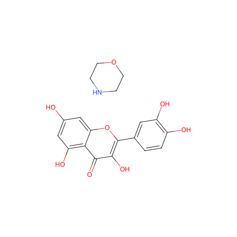 C1COCCN1.O=c1c(O)c(-c2ccc(O)c(O)c2)oc2cc(O)cc(O)c12